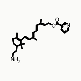 CC(C=CC1=C(C)CCC(CCN)C1(C)C)=CC=CC(C)=CCOC(=O)c1cccnc1